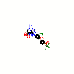 COC(=O)C1=Cc2c(ncnc2Nc2ccc(Oc3cccc([S+]([O-])CC(F)(F)F)c3)c(Cl)c2)NCC1